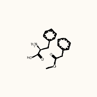 COC(=O)Cc1ccccc1.N[C@@H](Cc1ccccc1)C(=O)O